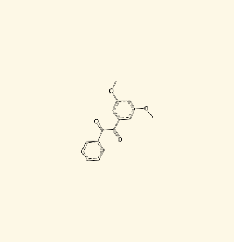 COc1cc(OC)cc(C(=O)C(=O)c2ccccc2)c1